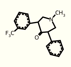 CN1CC(c2ccccc2)C(=O)C(c2cccc(C(F)(F)F)c2)C1